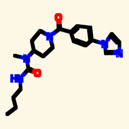 CCCCNC(=O)N(C)C1CCN(C(=O)c2ccc(-n3ccnc3)cc2)CC1